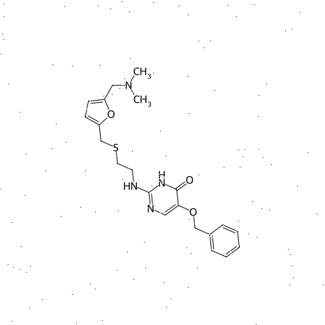 CN(C)Cc1ccc(CSCCNc2ncc(OCc3ccccc3)c(=O)[nH]2)o1